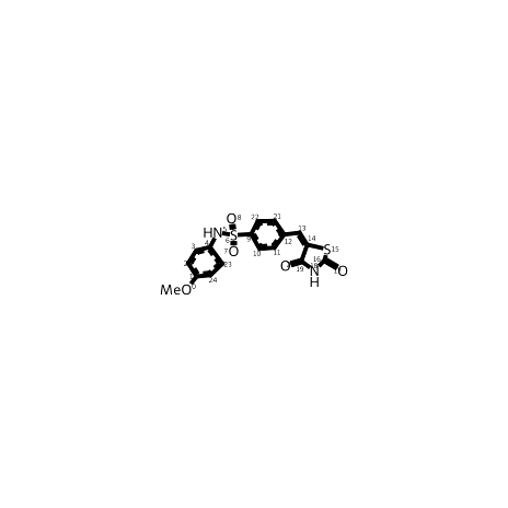 COc1ccc(NS(=O)(=O)c2ccc(C=C3SC(=O)NC3=O)cc2)cc1